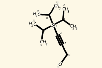 CC(C)[Si](C#CC[O])(C(C)C)C(C)C